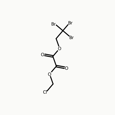 O=C(OCCl)C(=O)OCC(Br)(Br)Br